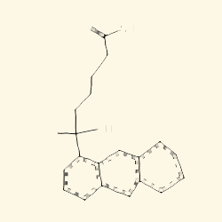 CC(C)(CCCCC(N)=O)c1cccc2cc3ccccc3cc12